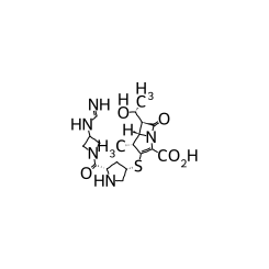 C[C@@H](O)[C@H]1C(=O)N2C(C(=O)O)=C(S[C@@H]3CN[C@H](C(=O)N4CC(NC=N)C4)C3)[C@H](C)[C@H]12